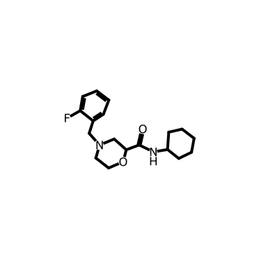 O=C(NC1CCCCC1)C1CN(Cc2ccccc2F)CCO1